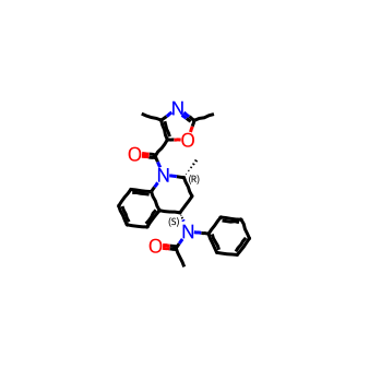 CC(=O)N(c1ccccc1)[C@H]1C[C@@H](C)N(C(=O)c2oc(C)nc2C)c2ccccc21